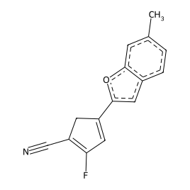 Cc1ccc2cc(C3=CC(F)=C(C#N)C3)oc2c1